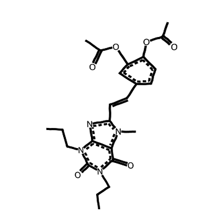 CCCn1c(=O)c2c(nc(/C=C/c3ccc(OC(C)=O)c(OC(C)=O)c3)n2C)n(CCC)c1=O